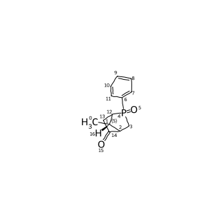 C[C@H]1C2CP(=O)(c3ccccc3)C1CC2=O